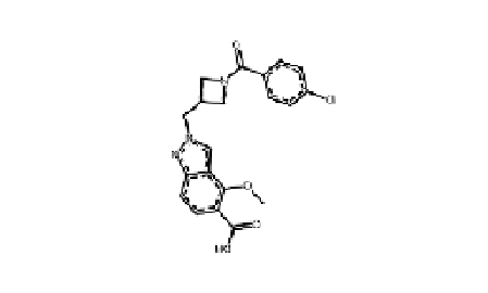 COc1c(C(=O)O)ccc2nn(CC3CN(C(=O)c4ccc(Cl)cc4)C3)cc12